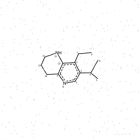 CCc1c(C(C)C)cnc2c1NCCC2